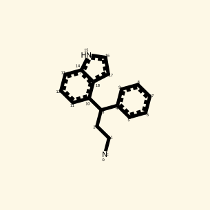 [N]CCC(c1ccccc1)c1cccc2[nH]ccc12